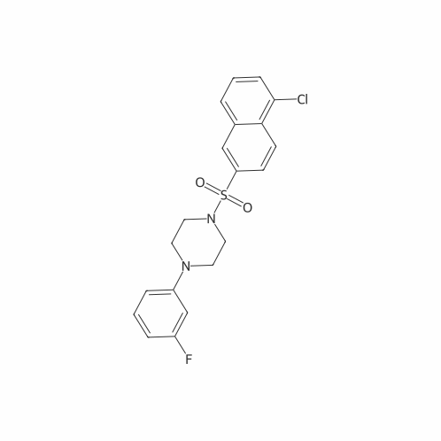 O=S(=O)(c1ccc2c(Cl)cccc2c1)N1CCN(c2cccc(F)c2)CC1